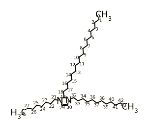 CCCCCCCCCCCCCCCCCCCC1N(CCCCCCCC)C=CN1CCCCCCCCCCCC